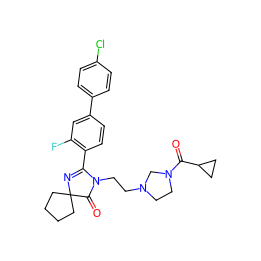 O=C(C1CC1)N1CCN(CCN2C(=O)C3(CCCC3)N=C2c2ccc(-c3ccc(Cl)cc3)cc2F)C1